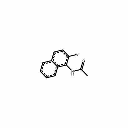 CC(=O)Nc1c(Br)ccc2ccccc12